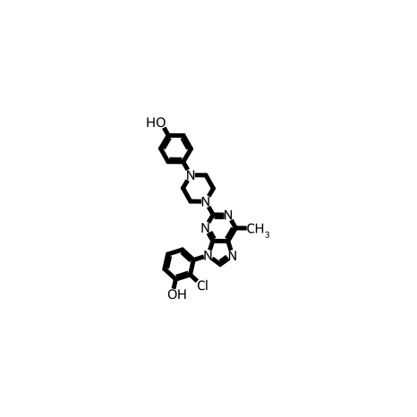 Cc1nc(N2CCN(c3ccc(O)cc3)CC2)nc2c1ncn2-c1cccc(O)c1Cl